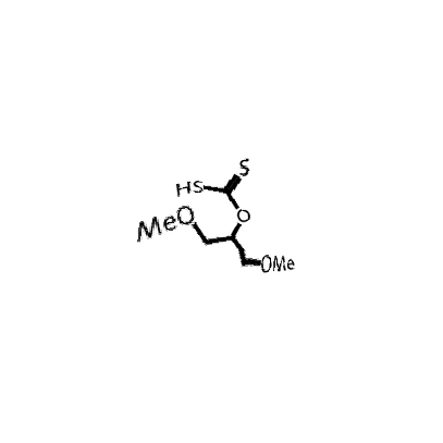 COCC(COC)OC(=S)S